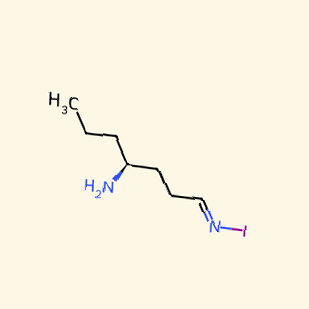 CCC[C@H](N)CC/C=N/I